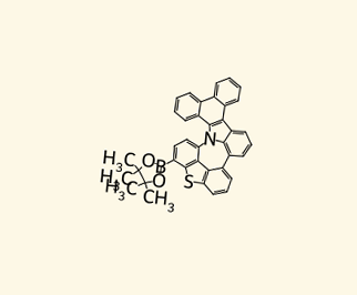 CC1(C)OB(c2ccc3c4c2sc2cccc(c5cccc6c7c8ccccc8c8ccccc8c7n3c56)c24)OC1(C)C